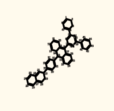 C1=CCCC(c2cc(C3=C4C=CC=CC4C(c4ccc(C5C=c6ccccc6=CC5)cc4)c4ccccc43)nc(-c3ccccc3)n2)=C1